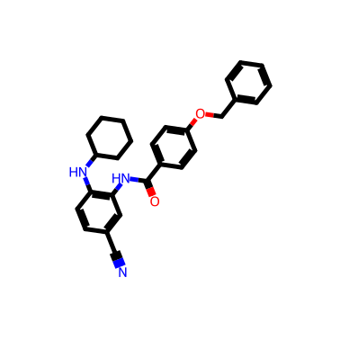 N#Cc1ccc(NC2CCCCC2)c(NC(=O)c2ccc(OCc3ccccc3)cc2)c1